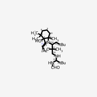 CC(=O)/C=C/C1(O)C(C)(C)CCCC1(C)NC(CC(C)(C)C)C(C)(C)CNC(NC=O)C(C)(C)C